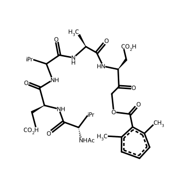 CC(=O)N[C@H](C(=O)N[C@@H](CC(=O)O)C(=O)NC(C(=O)N[C@@H](C)C(=O)N[C@@H](CC(=O)O)C(=O)COC(=O)c1c(C)cccc1C)C(C)C)C(C)C